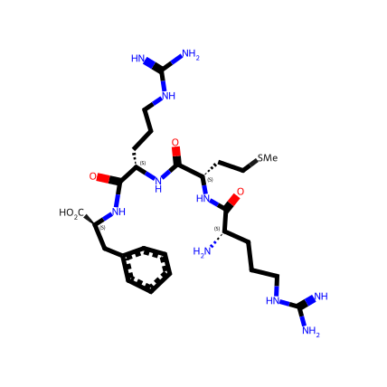 CSCC[C@H](NC(=O)[C@@H](N)CCCNC(=N)N)C(=O)N[C@@H](CCCNC(=N)N)C(=O)N[C@@H](Cc1ccccc1)C(=O)O